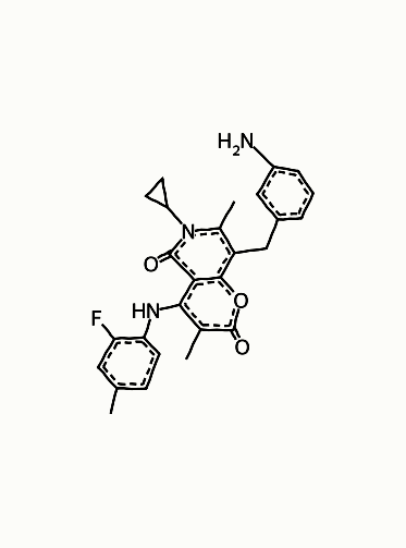 Cc1ccc(Nc2c(C)c(=O)oc3c(Cc4cccc(N)c4)c(C)n(C4CC4)c(=O)c23)c(F)c1